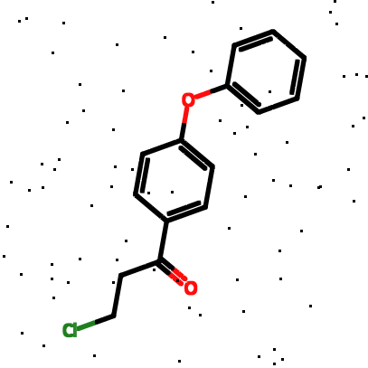 O=C(CCCl)c1ccc(Oc2ccccc2)cc1